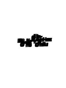 CCCCCCN(C(=O)CCCC)C(CC(OCC)c1nc(C(=O)C(C)CC)cs1)C(C)C